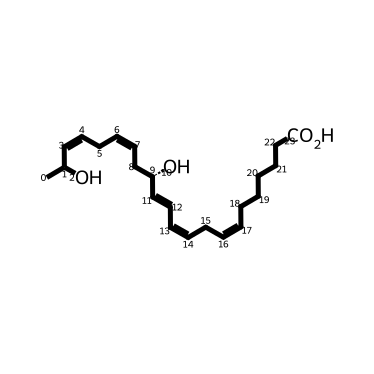 CC(O)/C=C\C/C=C\C[C@H](O)/C=C/C=C\C/C=C\CCCCCC(=O)O